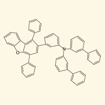 c1ccc(-c2cccc(N(c3cccc(-c4ccccc4)c3)c3cccc(-c4cc(-c5ccccc5)c5oc6ccccc6c5c4-c4ccccc4)c3)c2)cc1